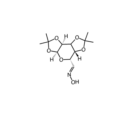 CC1(C)O[C@@H]2O[C@@H](C=NO)[C@H]3OC(C)(C)OC3[C@@H]2O1